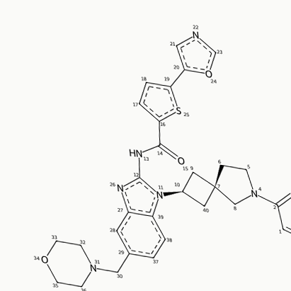 C=CC(=O)N1CC[C@]2(C1)C[C@H](n1c(NC(=O)c3ccc(-c4cnco4)s3)nc3cc(CN4CCOCC4)ccc31)C2